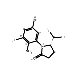 O=C1CC[C@@H](C(F)F)N1c1cc(Br)cc(F)c1[N+](=O)[O-]